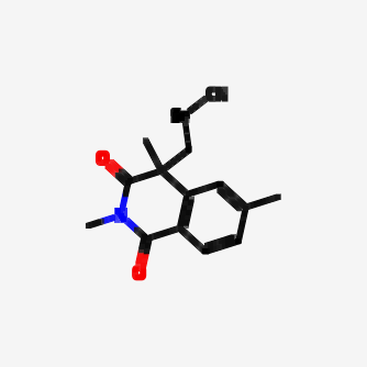 Cc1ccc2c(c1)C(C)(C[Se]C#N)C(=O)N(C)C2=O